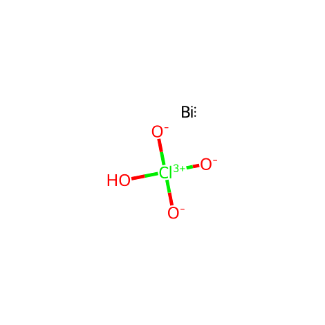 [Bi].[O-][Cl+3]([O-])([O-])O